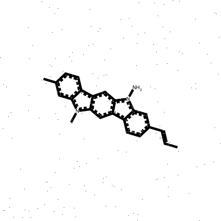 C/C=C/c1ccc2c3cc4c(cc3n(N)c2c1)c1ccc(C)cc1n4C